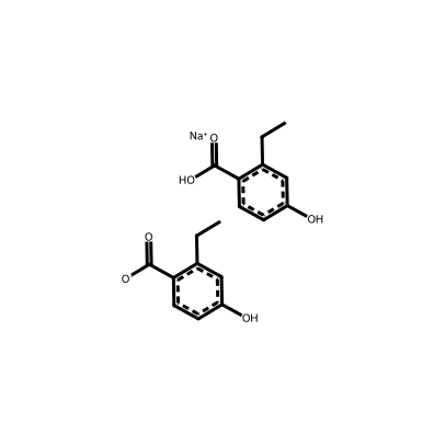 CCc1cc(O)ccc1C(=O)O.CCc1cc(O)ccc1C(=O)[O-].[Na+]